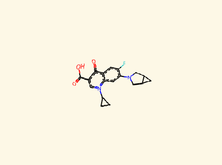 O=C(O)c1cn(C2CC2)c2cc(N3CC4CC4C3)c(F)cc2c1=O